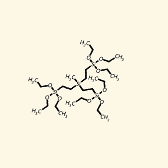 CCO[Si](CC[Si](C)(CC[Si](OCC)(OCC)OCC)CC[Si](OCC)(OCC)OCC)(OCC)OCC